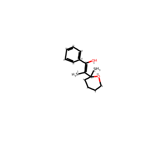 OC(=C([SiH3])C1([SiH3])CCCCO1)c1ccccc1